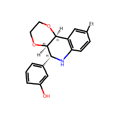 CCc1ccc2c(c1)[C@@H]1OCCO[C@@H]1[C@@H](c1cccc(O)c1)N2